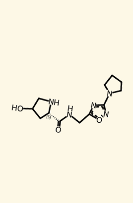 O=C(NCc1nc(N2CCCC2)no1)[C@@H]1CC(O)CN1